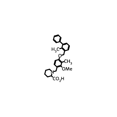 COc1c(CN2CCCCC2C(=O)O)ccc(OCc2cccc(-c3ccccc3)c2C)c1C